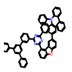 c1ccc(-c2cc(-c3ccccc3)cc(-c3cccc(-c4nc(-c5ccccc5)nc(-c5cccc6oc7ccc(-c8ccc9c(c8)c8ccccc8n9-c8ccccc8-c8ccccc8)cc7c56)n4)c3)c2)cc1